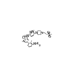 Cc1c(N)cccc1-c1cc(Nc2ccc(N3CCN(CCS(C)(=O)=O)CC3)nn2)c(=O)n(C)c1